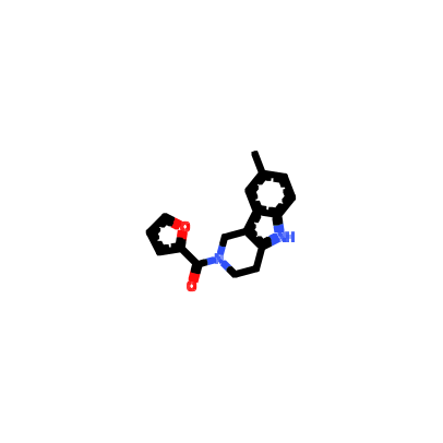 Cc1ccc2[nH]c3c(c2c1)CN(C(=O)c1ccco1)CC3